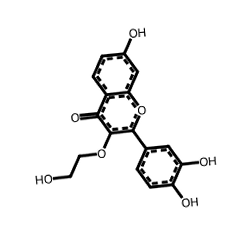 O=c1c(OCCO)c(-c2ccc(O)c(O)c2)oc2cc(O)ccc12